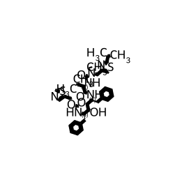 CC(C)c1nc(CN(C)C(=O)N[C@H](C(=O)N[C@@H](Cc2ccccc2)CC(O)[C@H](Cc2ccccc2)NC(=O)OCc2cncs2)C(C)C)cs1